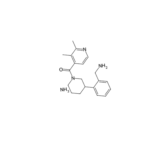 Cc1nccc(C(=O)N2CCCC(c3ccccc3CN)C2)c1C.N